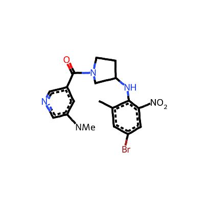 CNc1cncc(C(=O)N2CCC(Nc3c(C)cc(Br)cc3[N+](=O)[O-])C2)c1